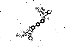 CC(C)[C@H](NC(=O)O)C(=O)N1CC2(CCOCC2)C[C@H]1c1nc2cc(-c3ccc(-c4ccc5[nH]c([C@@H]6CC7(CCOCC7)CN6C(=O)[C@@H](NC(=O)O)C(C)C)nc5c4)cc3)ccc2[nH]1